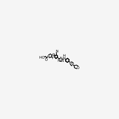 N#Cc1cc(-c2ncnc(Nc3ccc(N4CCN(C5CCOCC5)CC4)cc3)n2)ccc1OC1CCN(C(=O)CO)CC1F